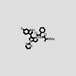 CNC(C)C(=O)NC(C(=O)N1CCC2C1=C(c1c[nH]c3cc(F)ccc13)CN2c1ncccn1)C1CCCCC1